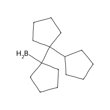 BC1(C2(C3CCCC3)CCCC2)CCCC1